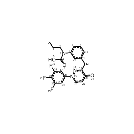 CCCN(C(=O)O)c1cccc(Cc2nn(-c3cc(F)c(F)c(F)c3)ccc2=O)c1